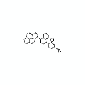 N#Cc1ccc2c(c1)Oc1cccc3c(-c4ccc5ccc6cccc7ccc4c5c67)ccc-2c13